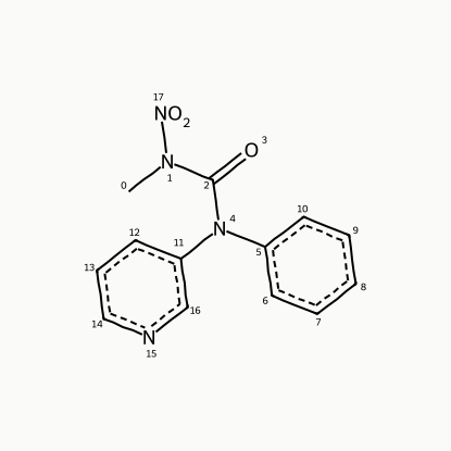 CN(C(=O)N(c1ccccc1)c1cccnc1)[N+](=O)[O-]